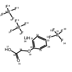 F[B-](F)(F)F.F[B-](F)(F)F.F[B-](F)(F)F.O=C(O)COc1ccccc1.[LiH]